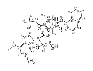 COc1nc(N)nc2c1ncn2C1OC(CO[P@@](=O)(N[C@@H](C)C(=O)OCC(C)(C)C)Oc2cccc3ccccc23)C(O)C1(C)O